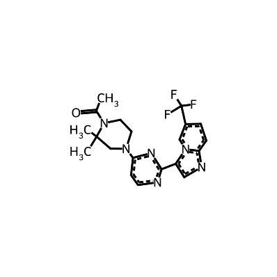 CC(=O)N1CCN(c2ccnc(-c3cnc4ccc(C(F)(F)F)cn34)n2)CC1(C)C